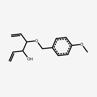 C=CC(O)C(C=C)OCc1ccc(OC)cc1